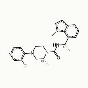 C[C@H](NC(=O)N1CCN(c2ccncc2F)C[C@H]1C)c1cccc2ccn(C)c12